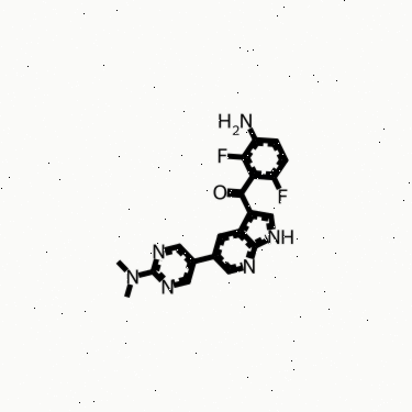 CN(C)c1ncc(-c2cnc3[nH]cc(C(=O)c4c(F)ccc(N)c4F)c3c2)cn1